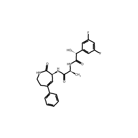 C[C@H](NC(=O)[C@H](O)c1cc(F)cc(F)c1)C(=O)N[C@H]1C=C(c2ccccc2)CCNC1=O